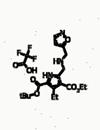 CCOC(=O)c1c(CNCc2ccno2)[nH]c(C(=O)OC(C)(C)C)c1CC.O=C(O)C(F)(F)F